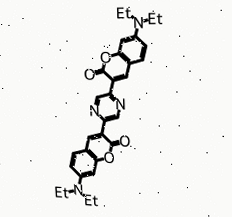 CCN(CC)c1ccc2cc(-c3cnc(-c4cc5ccc(N(CC)CC)cc5oc4=O)cn3)c(=O)oc2c1